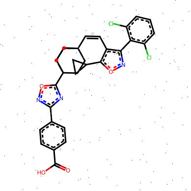 O=C(O)c1ccc(-c2noc(C34CCC(/C=C\c5c(-c6c(Cl)cccc6Cl)noc5C5CC5)(CC3)CC4)n2)cc1